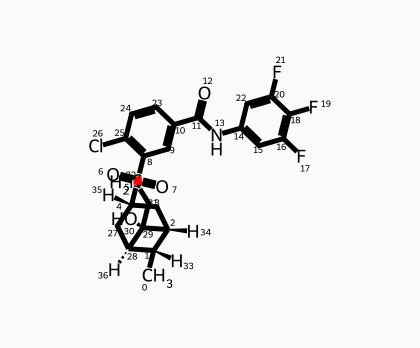 C[C@H]1[C@H]2C[C@@H](S(=O)(=O)c3cc(C(=O)Nc4cc(F)c(F)c(F)c4)ccc3Cl)C[C@H]1[C@@]2(O)CN